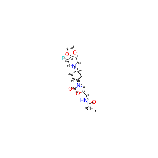 CC(=O)NCC1CN(c2ccc(N3CCC4(OCCO4)C(F)C3)cc2)C(=O)O1